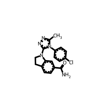 Cc1nnc(N2CCc3ccc(C(N)=O)cc32)n1-c1ccc(Cl)cc1